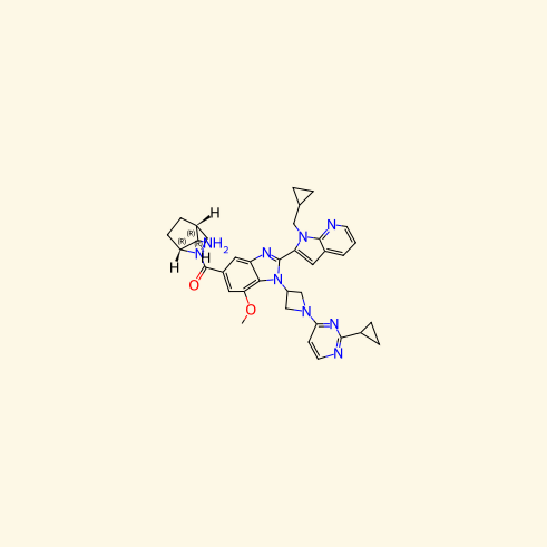 COc1cc(C(=O)N2C[C@H]3CC[C@@H]2[C@@H]3N)cc2nc(-c3cc4cccnc4n3CC3CC3)n(C3CN(c4ccnc(C5CC5)n4)C3)c12